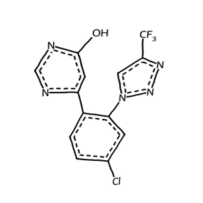 Oc1cc(-c2ccc(Cl)cc2-n2cc(C(F)(F)F)nn2)ncn1